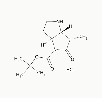 C[C@@H]1C(=O)N(C(=O)OC(C)(C)C)[C@H]2CCN[C@H]12.Cl